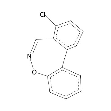 Clc1cccc2c1C=NOc1ccccc1-2